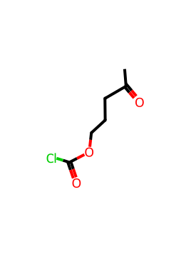 CC(=O)CCCOC(=O)Cl